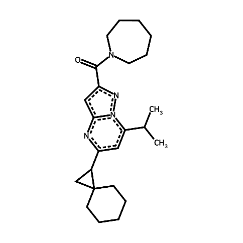 CC(C)c1cc(C2CC23CCCCC3)nc2cc(C(=O)N3CCCCCC3)nn12